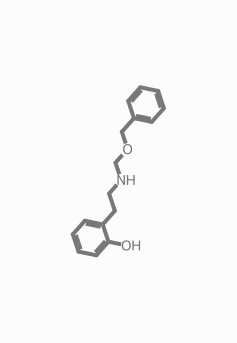 Oc1ccccc1CCNCOCc1ccccc1